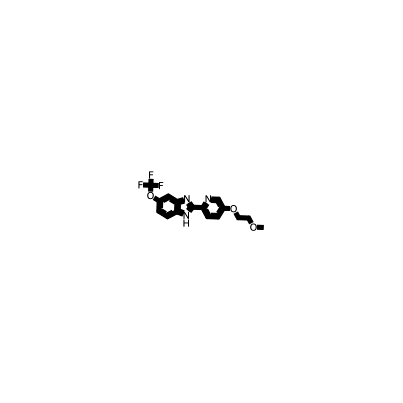 COCCOc1ccc(-c2nc3cc(OC(F)(F)F)ccc3[nH]2)nc1